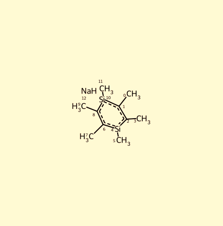 Cc1c(C)[si](C)c(C)c(C)[si]1C.[NaH]